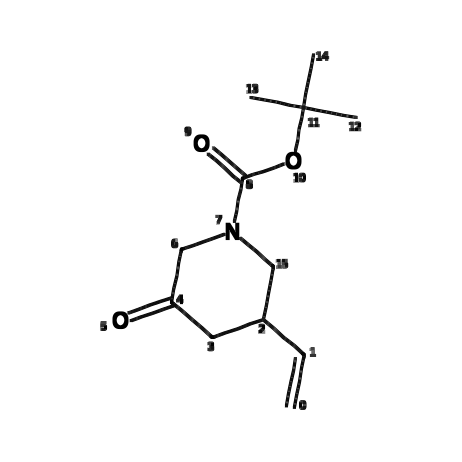 C=CC1CC(=O)CN(C(=O)OC(C)(C)C)C1